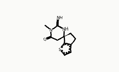 CN1C(=N)N[C@@]2(CCc3ccsc32)CC1=O